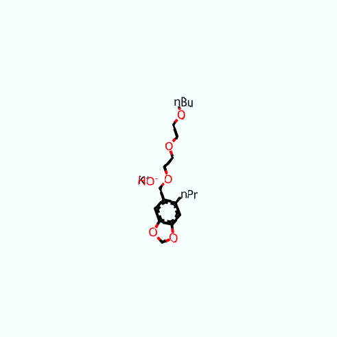 CCCCOCCOCCOCc1cc2c(cc1CCC)OCO2.[K+].[OH-]